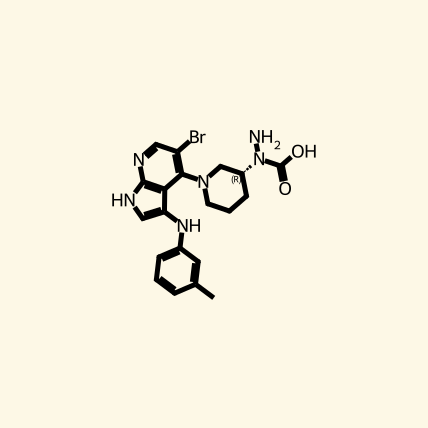 Cc1cccc(Nc2c[nH]c3ncc(Br)c(N4CCC[C@@H](N(N)C(=O)O)C4)c23)c1